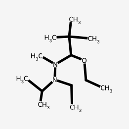 CCOC(N(C)N(CC)C(C)C)C(C)(C)C